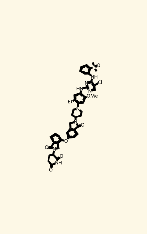 CCc1cc(Nc2ncc(Cl)c(Nc3ccccc3P(C)(C)=O)n2)c(OC)cc1N1CCC(N2Cc3cc(Oc4cccc5c4CN(C4CCC(=O)NC4=O)C5=O)ccc3C2=O)CC1